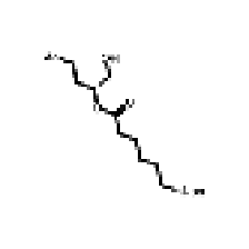 CCCCCCCCCCCCCCC(=O)O[C@H](CO)CCC(C)=O